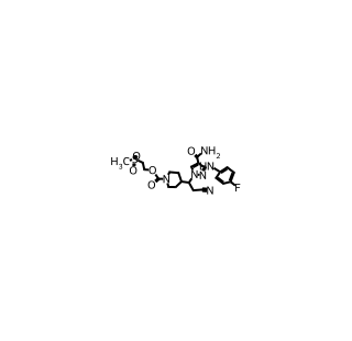 CS(=O)(=O)CCOC(=O)N1CCC(C(CC#N)n2cc(C(N)=O)c(Nc3ccc(F)cc3)n2)CC1